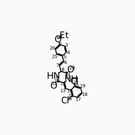 CCOc1ccc(C=CC2NC(=O)C(=Cc3c(Cl)cccc3Cl)NC2=O)cc1